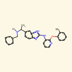 CCN(Cc1ccccc1)C(C)c1ccc2nc(Nc3cccnc3Oc3ccccc3C(C)(C)C)[nH]c2c1